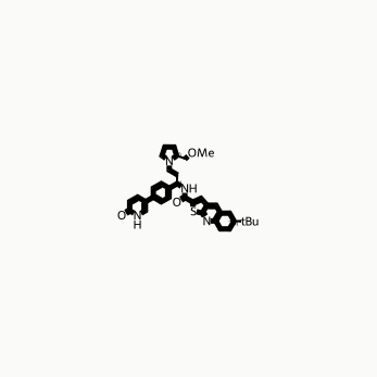 COC[C@@H]1CCCN1CC[C@@H](NC(=O)c1cc2cc3c(nc2s1)CC[C@H](C(C)(C)C)C3)c1ccc(-c2ccc(=O)[nH]c2)cc1